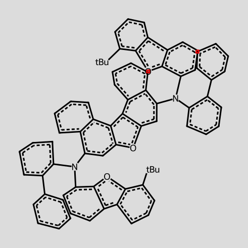 CC(C)(C)c1cccc2c1oc1c(N(c3ccccc3-c3ccccc3)c3cc4oc5cc(N(c6ccccc6-c6ccccc6)c6cccc7c6oc6c(C(C)(C)C)cccc67)c6ccccc6c5c4c4ccccc34)cccc12